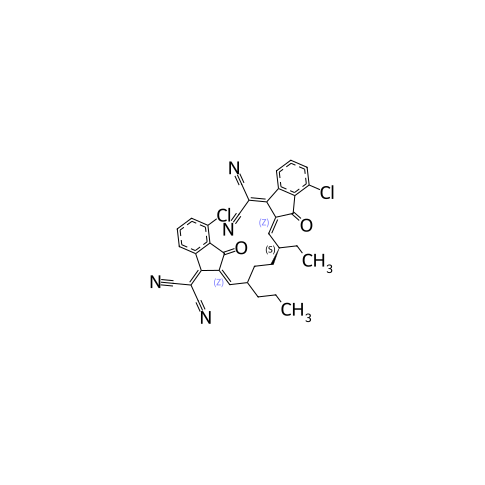 CCCC(/C=C1\C(=O)c2c(Cl)cccc2C1=C(C#N)C#N)CC[C@@H](/C=C1\C(=O)c2c(Cl)cccc2C1=C(C#N)C#N)CC